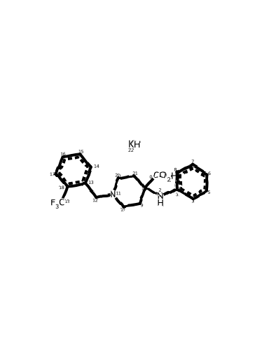 O=C(O)C1(Nc2ccccc2)CCN(Cc2ccccc2C(F)(F)F)CC1.[KH]